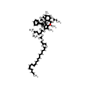 C=C[C@H]1O[C@H]2C[C@@]3(C)OC[C@@]3(OC(C)=O)[C@H]3[C@H](OC(=O)c4ccccc4)[C@]4(C(C)(C)O)C[C@H](OC(=O)[C@H](OC(=O)OCC5COC(CCCCCCCC/C=C\C/C=C\CCCC)O5)[C@@H](C)CC(C)C)C(C)=C4[C@H](C)[C@H](O1)[C@]23C